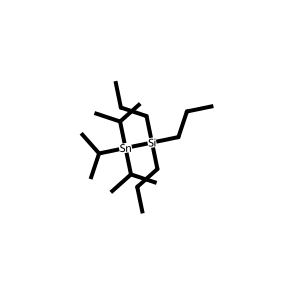 CCC[Si](CCC)(CCC)[Sn]([CH](C)C)([CH](C)C)[CH](C)C